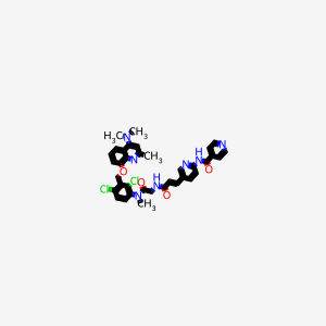 Cc1cc(N(C)C)c2cccc(OCc3c(Cl)ccc(N(C)C(=O)CNC(=O)/C=C/c4ccc(NC(=O)c5ccncc5)nc4)c3Cl)c2n1